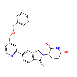 O=C1CCC(N2Cc3cc(-c4cc(COCc5ccccc5)ccn4)ccc3C2=O)C(=O)N1